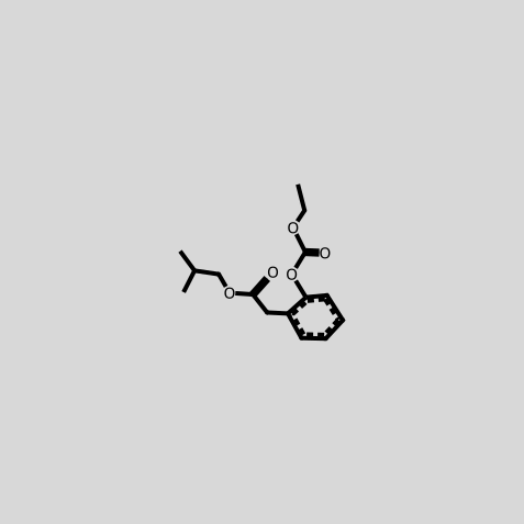 CCOC(=O)Oc1ccccc1CC(=O)OCC(C)C